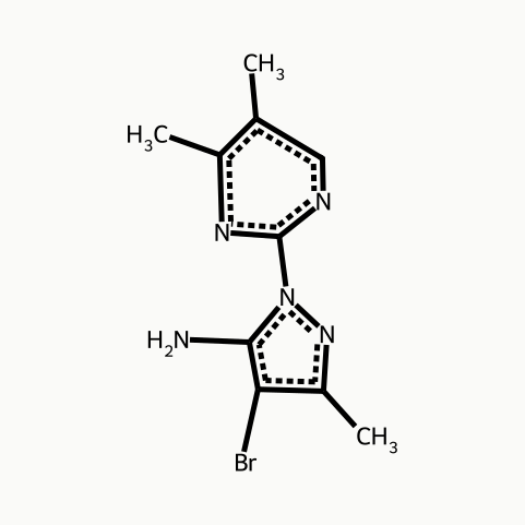 Cc1cnc(-n2nc(C)c(Br)c2N)nc1C